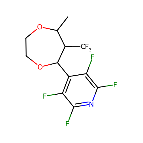 CC1OCCOC(c2c(F)c(F)nc(F)c2F)C1C(F)(F)F